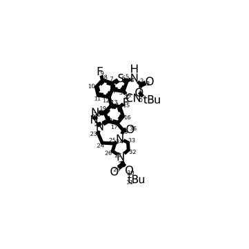 CC(C)(C)OC(=O)Nc1sc2c(F)ccc(-c3c(F)cc4c5c3nnn5CCC3CN(C(=O)OC(C)(C)C)CCN3C4=O)c2c1C#N